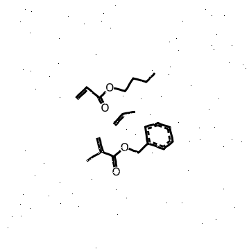 C=C(C)C(=O)OCc1ccccc1.C=CC.C=CC(=O)OCCCC